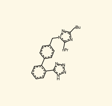 CCCc1nc(C(C)CC)nn1Cc1ccc(-c2ccccc2-c2nnn[nH]2)cc1